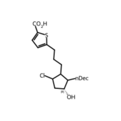 CCCCCCCCCCC1C(CCCc2ccc(C(=O)O)s2)C(Cl)C[C@H]1O